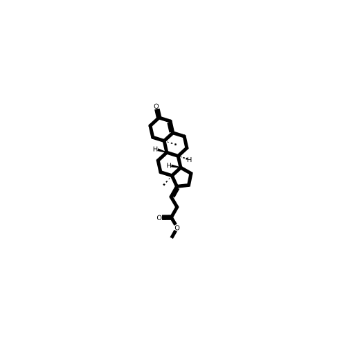 COC(=O)CC=C1CC[C@H]2[C@@H]3CCC4=CC(=O)CC[C@]4(C)[C@H]3CC[C@]12C